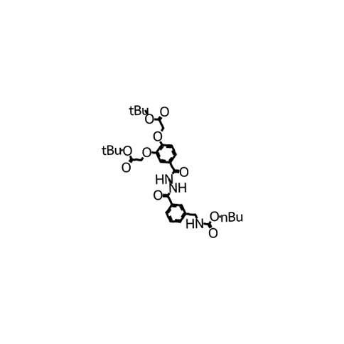 CCCCOC(=O)NCc1cccc(C(=O)NNC(=O)c2ccc(OCC(=O)OC(C)(C)C)c(OCC(=O)OC(C)(C)C)c2)c1